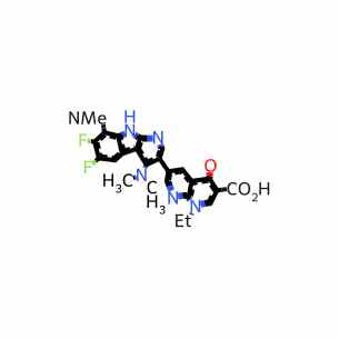 CCn1cc(C(=O)O)c(=O)c2cc(-c3cnc4[nH]c5c(NC)c(F)c(F)cc5c4c3N(C)C)cnc21